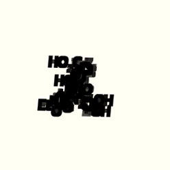 CCN1CCN(C(=O)NC(C(=O)NC2Cc3cccc(C(=O)O)c3OB2O)c2ccc(O)c(O)c2)C(=O)C1=O